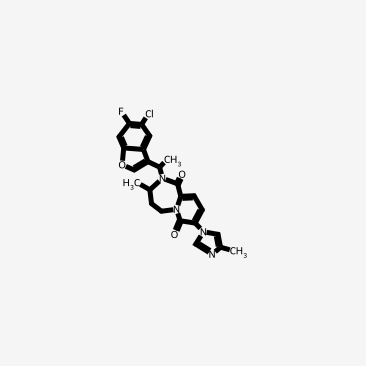 Cc1cn(-c2ccc3n(c2=O)CCC(C)N(C(C)c2coc4cc(F)c(Cl)cc24)C3=O)cn1